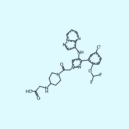 O=C(O)CNC1CCN(C(=O)Cn2cc(Nc3cnn4cccnc34)c(-c3cc(Cl)ccc3OC(F)F)n2)CC1